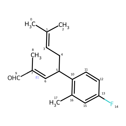 CC(C)=CCC(/C=C(\C)C=O)c1ccc(F)cc1C